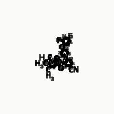 Cc1cc(C(=O)Nc2cc(C#N)ccc2N2CCC(Oc3ccc(F)cc3F)CC2)c(=O)n(C)c1C